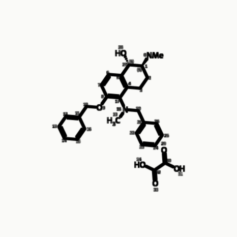 CN[C@H]1CCc2c(ccc(OCc3ccccc3)c2N(C)Cc2ccccc2)[C@@H]1O.O=C(O)C(=O)O